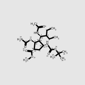 CCC(CC)[C@H](NC(C)=O)[C@@H]1[C@H](OC(N)=O)[C@@H](C(=O)OC)C[C@H]1NC(=O)OC(C)(C)C